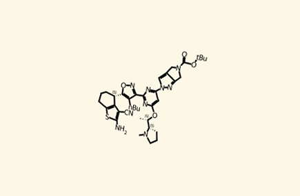 CCCCc1c(-c2nc(O[C@@H](C)[C@@H]3CCCN3C)cc(-n3cc4c(n3)CN(C(=O)OC(C)(C)C)C4)n2)noc1[C@H]1CCCc2sc(N)c(C#N)c21